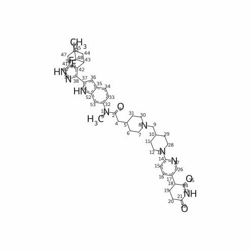 CN(C(=O)CC1CCN(CC2CCN(c3ccc(C4CCC(=O)NC4=O)cn3)CC2)CC1)c1ccc2cc(-c3n[nH]c4c3C3C[C@@](C)(C4)C3(F)F)[nH]c2c1